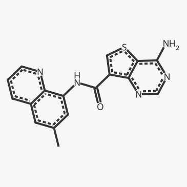 Cc1cc(NC(=O)c2csc3c(N)ncnc23)c2ncccc2c1